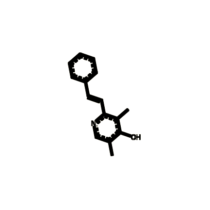 Cc1cnc(C=Cc2ccccc2)c(C)c1O